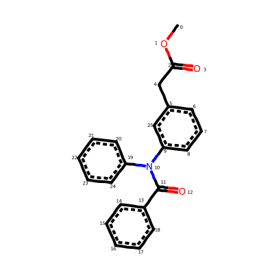 COC(=O)Cc1cccc(N(C(=O)c2ccccc2)c2ccccc2)c1